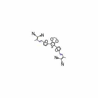 CC(/C=C/c1ccc(-c2sc(-c3ccc(/C=C/C(C)=C(C#N)C#N)o3)c3c2OCCO3)o1)=C(C#N)C#N